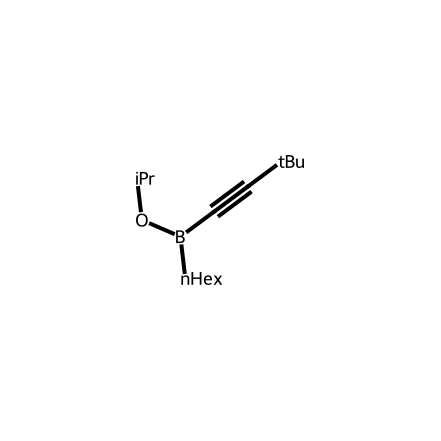 CCCCCCB(C#CC(C)(C)C)OC(C)C